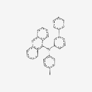 Cc1ccc(N(c2cccc(-c3ccccc3)c2)c2c3ccccc3cc3ccccc23)cc1